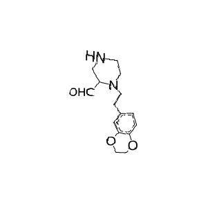 O=CC1CNCCN1CCc1ccc2c(c1)OCCO2